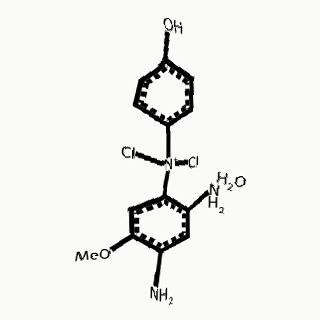 COc1cc([N+](Cl)(Cl)c2ccc(O)cc2)c(N)cc1N.O